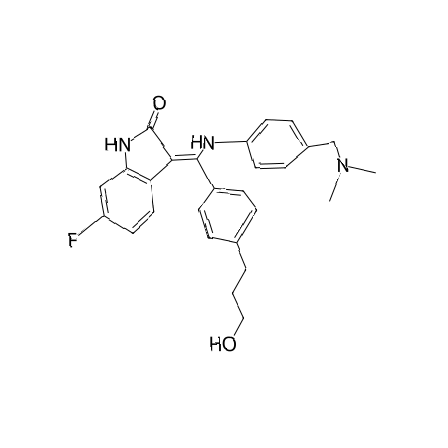 CN(C)Cc1ccc(N/C(=C2\C(=O)Nc3cc(F)ccc32)c2ccc(CCCO)cc2)cc1